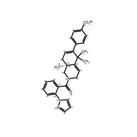 CC1(C)C(c2ccc(C(=O)O)cc2)=CC[C@]2(C)CN(C(=O)c3ccccc3-n3cccn3)CC=C12